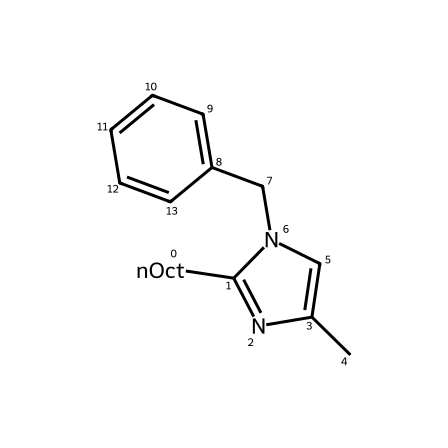 CCCCCCCCc1nc(C)cn1Cc1ccccc1